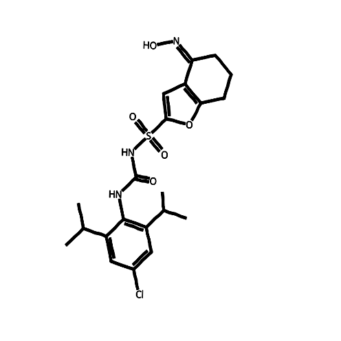 CC(C)c1cc(Cl)cc(C(C)C)c1NC(=O)NS(=O)(=O)c1cc2c(o1)CCC/C2=N/O